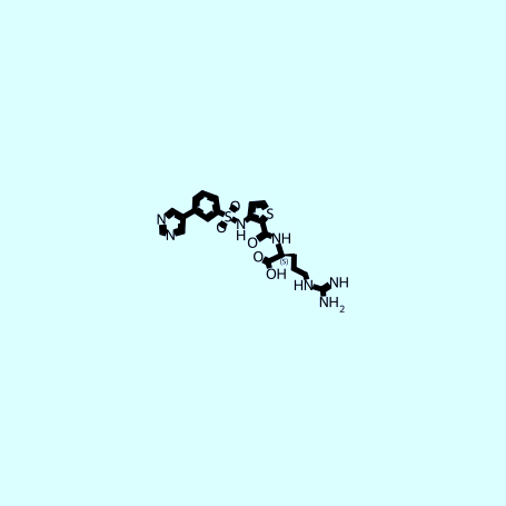 N=C(N)NCCC[C@H](NC(=O)c1sccc1NS(=O)(=O)c1cccc(-c2cncnc2)c1)C(=O)O